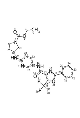 CCOC(=O)N1CCC(Nc2ncc(NC(=O)c3nc(-c4ccccc4)oc3C(F)(F)F)cn2)C1